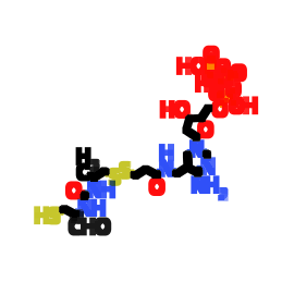 CC(CSSCCC(=O)NCC1=CN(C2CC(O)C(COP(=O)(O)OP(=O)(O)OP(=O)(O)O)O2)CN=C1N)NC(=O)N[C@H](C=O)CS